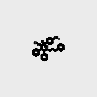 Cc1ccc(S(=O)(=O)[N]([Ru][Cl])C(c2ccccc2)C(NCCCc2ccccc2)c2ccccc2)cc1